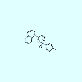 C=CC(OS(=O)(=O)c1ccc(C)cc1)c1cccc2ccccc12